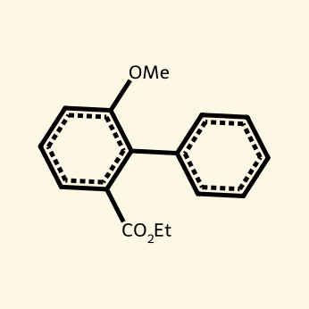 CCOC(=O)c1cccc(OC)c1-c1ccccc1